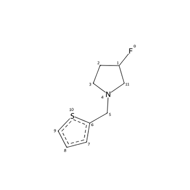 FC1CCN(Cc2cccs2)C1